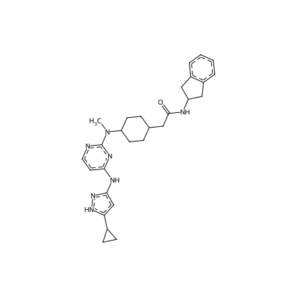 CN(c1nccc(Nc2cc(C3CC3)[nH]n2)n1)C1CCC(CC(=O)NC2Cc3ccccc3C2)CC1